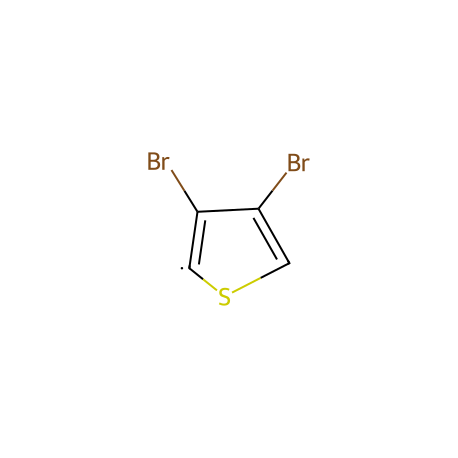 Brc1[c]scc1Br